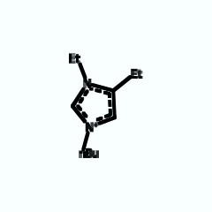 CCCC[n+]1cc(CC)n(CC)c1